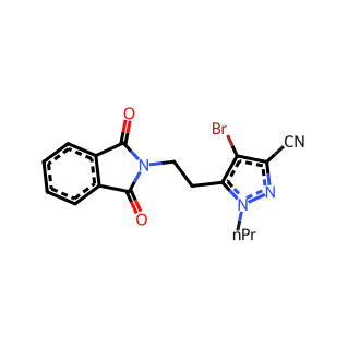 CCCn1nc(C#N)c(Br)c1CCN1C(=O)c2ccccc2C1=O